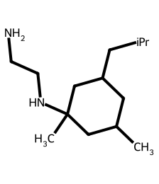 CC(C)CC1CC(C)CC(C)(NCCN)C1